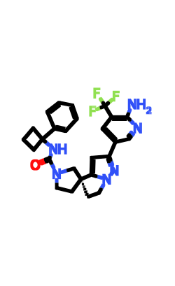 Nc1ncc(-c2cc3n(n2)CC[C@@]32CCN(C(=O)NC3(c4ccccc4)CCC3)C2)cc1C(F)(F)F